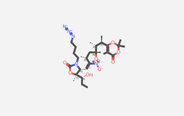 CC[C@@H](O)[C@@]1(C)OC(=O)N(CCCCN=[N+]=[N-])[C@@H]1/C=C(\[C@H](C)C[C@@](C)(OC)[C@H](C)[C@@H](C)C1=C(C)C(=O)OC(C)(C)O1)[N+](=O)[O-]